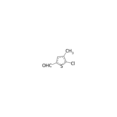 Cc1cc(C=O)sc1Cl